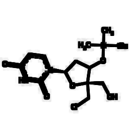 CC(C)(C)[Si](C)(C)OC1C[C@H](n2ccc(=O)[nH]c2=O)O[C@@]1(CO)CCl